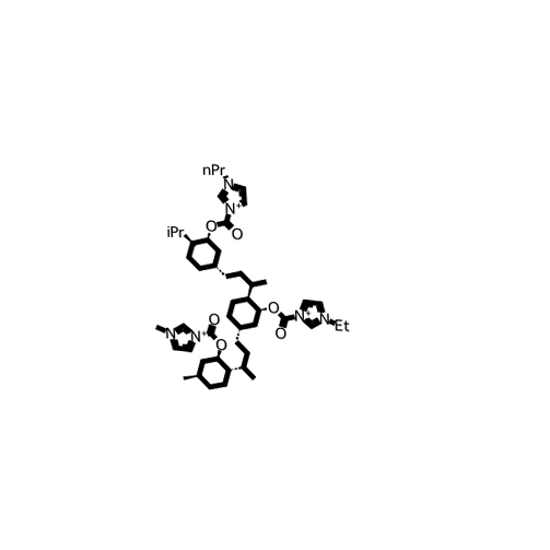 CCCn1cc[n+](C(=O)O[C@@H]2C[C@H](CCC(C)[C@@H]3CC[C@@H](CCC(C)[C@@H]4CC[C@@H](C)C[C@H]4OC(=O)[n+]4ccn(C)c4)C[C@H]3OC(=O)[n+]3ccn(CC)c3)CC[C@H]2C(C)C)c1